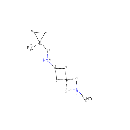 O=CN1CC2(CC(NCC3(C(F)(F)F)CC3)C2)C1